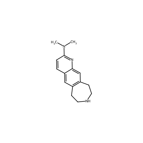 CN(C)c1ccc2cc3c(cc2n1)CCNCC3